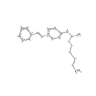 CCCCCCC(C)Oc1ccc(N=Cc2ccccc2)cc1